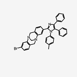 Cc1ccc(-n2c(-c3ccc4c(c3)N3Cc5ccc(Br)cc5N(C4)C3)nc(-c3ccccc3)c2-c2ccccc2)cc1